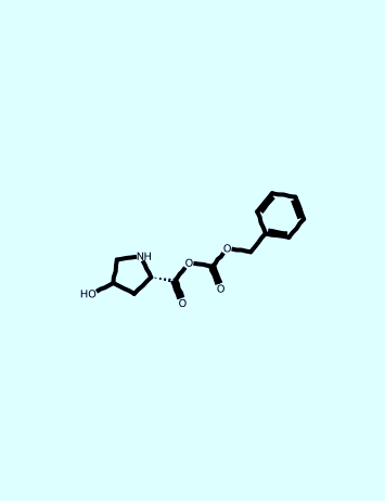 O=C(OCc1ccccc1)OC(=O)[C@@H]1CC(O)CN1